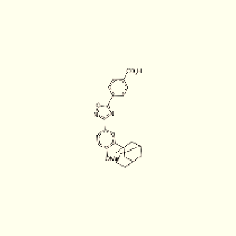 COc1ccc(-c2noc(-c3ccc(C(=O)O)cc3)n2)cc1C12CC3CC(CC(C3)C1)C2